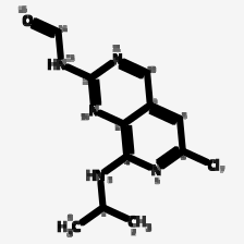 CC(C)Nc1nc(Cl)cc2cnc(NC=O)nc12